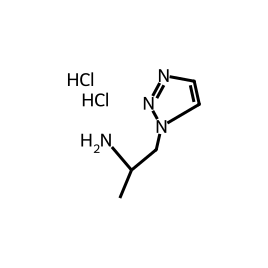 CC(N)Cn1ccnn1.Cl.Cl